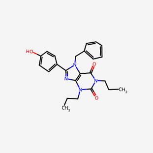 CCCn1c(=O)c2c(nc(-c3ccc(O)cc3)n2Cc2ccccc2)n(CCC)c1=O